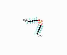 CC(F)C(F)(F)C(F)(F)C(F)(F)C(F)(F)OS(=O)(=O)OC(F)(F)C(F)(F)C(F)(F)C(F)(F)C(C)F